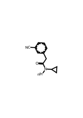 CCCN(C(=O)Cc1cccc(C#N)c1)C1CC1